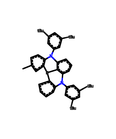 Cc1ccc2c(c1)B1c3ccccc3N(c3cc(C(C)(C)C)cc(C(C)(C)C)c3)c3cccc(c31)N2c1cc(C(C)(C)C)cc(C(C)(C)C)c1